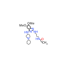 C=CC(=O)NCCCCNc1nc(NC2CCN(C3CCCCC3)CC2)c2cc(OC)c(OC)cc2n1